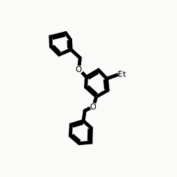 CCc1cc(OCc2ccccc2)cc(OCc2ccccc2)c1